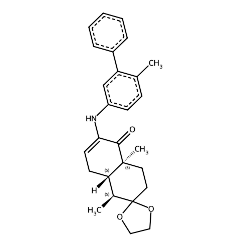 Cc1ccc(NC2=CC[C@H]3[C@H](C)C4(CC[C@]3(C)C2=O)OCCO4)cc1-c1ccccc1